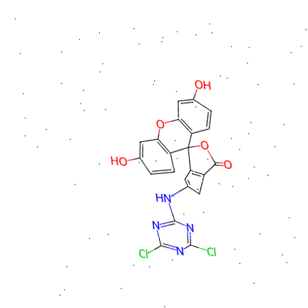 O=C1OC2(c3ccc(O)cc3Oc3cc(O)ccc32)c2cc(Nc3nc(Cl)nc(Cl)n3)ccc21